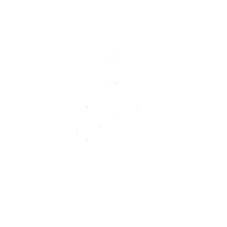 CCCCC(C)C(=O)OC(C)C(CCC)C(=O)O